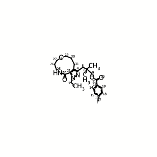 CCn1nc(CC(C)(C)COC(=O)c2ccc(F)cc2)c2c1C(=O)NCCCOCCC2